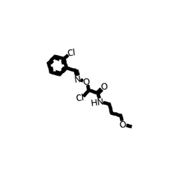 COCCCNC(=O)C(Cl)ON=Cc1ccccc1Cl